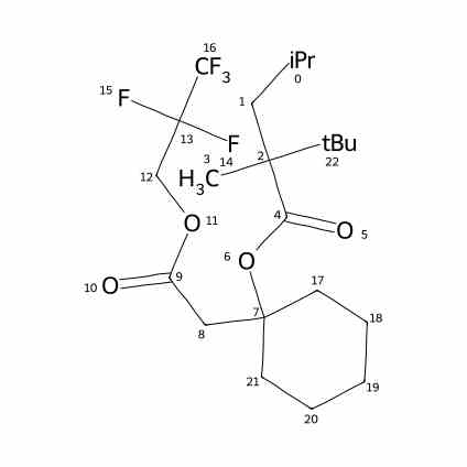 CC(C)CC(C)(C(=O)OC1(CC(=O)OCC(F)(F)C(F)(F)F)CCCCC1)C(C)(C)C